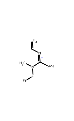 C=C/N=C(/SC)N(C)OCC